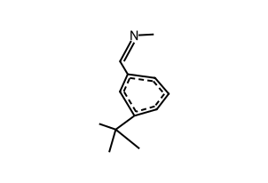 C/N=C\c1cccc(C(C)(C)C)c1